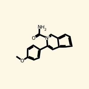 COc1ccc(-c2cc3ccccc3c[n+]2C(N)=O)cc1